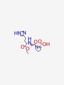 CCOC(=O)C(CCc1c[nH]cn1)N[C@@H](C)C(=O)N1CCC[C@H]1C(=O)O